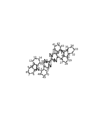 c1ccc(-n2c3ccccc3c3cccc(-c4ccnc(-c5nccc(-c6cccc7c8ccccc8n(-c8ccccc8)c67)n5)n4)c32)cc1